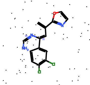 C=C(/C=C(\N=C/N)c1ccc(Cl)c(Cl)c1)c1ncco1